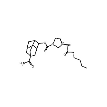 CCCCCC(=O)N[C@@H]1CCN(C(=O)OC2C3CC4CC2CC(C(N)=O)(C4)C3)C1